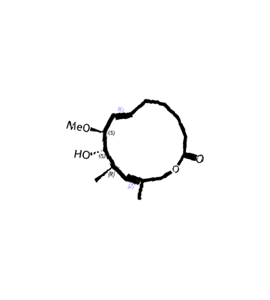 CO[C@H]1/C=C/CCCCC(=O)OC/C(C)=C\[C@@H](C)[C@@H]1O